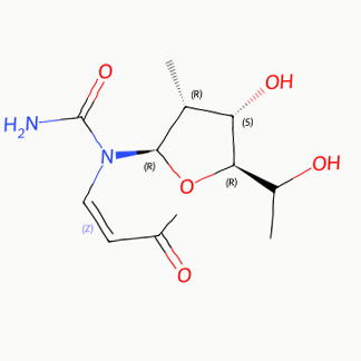 CC(=O)/C=C\N(C(N)=O)[C@@H]1O[C@H](C(C)O)[C@@H](O)[C@H]1C